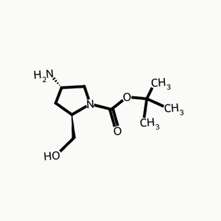 CC(C)(C)OC(=O)N1C[C@@H](N)C[C@@H]1CO